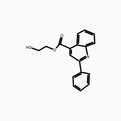 O=C(OCCO)c1cc(-c2ccccc2)nc2ccccc12